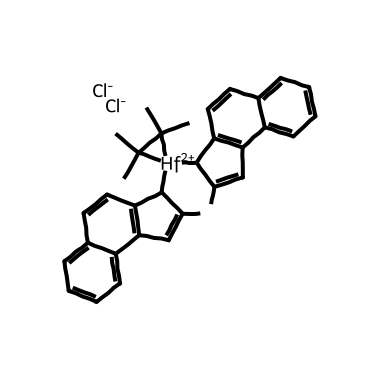 CC1=Cc2c(ccc3ccccc23)[CH]1[Hf+2]1([CH]2C(C)=Cc3c2ccc2ccccc32)[C](C)(C)[C]1(C)C.[Cl-].[Cl-]